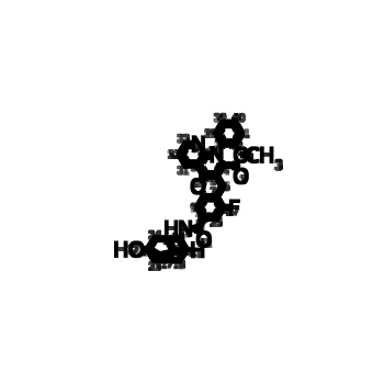 COC(=O)c1c(Cc2ccc(C(=O)NC3C4CC5C[C@@H]3CC(O)(C5)C4)cc2F)c(=O)c2cccnc2n1-c1ccccc1